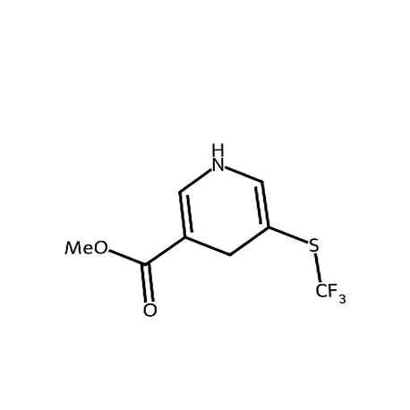 COC(=O)C1=CNC=C(SC(F)(F)F)C1